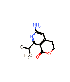 CC(C)c1nc(N)cc2c1C(=O)OCC2